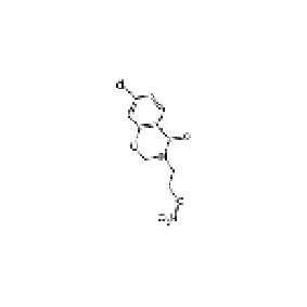 O=C1c2ccc(Cl)cc2OCN1CCO[N+](=O)[O-]